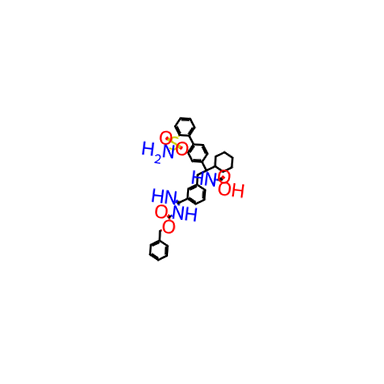 N=C(NC(=O)OCc1ccccc1)c1cccc(CC(NC(=O)O)(c2ccc(-c3ccccc3S(N)(=O)=O)cc2)C2CCCCC2)c1